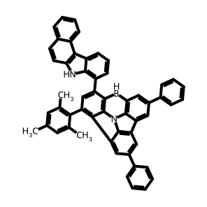 Cc1cc(C)c(-c2cc(-c3cccc4c3[nH]c3ccc5ccccc5c34)c3c4c2c2cc(-c5ccccc5)cc5c6cc(-c7ccccc7)cc(c6n4c52)B3)c(C)c1